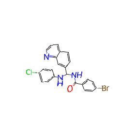 O=C(NC(Nc1ccc(Cl)cc1)c1ccc2cccnc2c1)c1ccc(Br)cc1